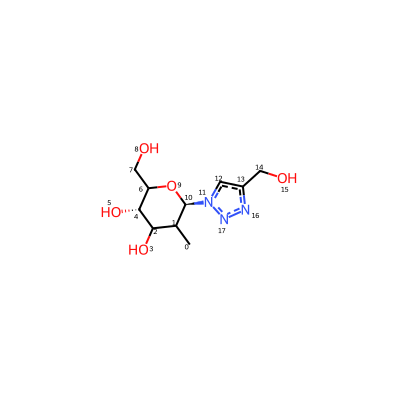 CC1C(O)[C@H](O)C(CO)O[C@H]1n1cc(CO)nn1